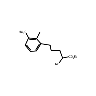 CCOC(=O)C(C#N)CCCc1cccc(C(=O)O)c1C